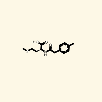 CSCC[C@H](NC(=O)Cc1ccc(C)cc1)C(=O)O